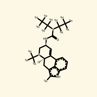 [2H]c1[nH]c2cccc3c2c1C[C@@H]1C3=C[C@H](NC(=O)N(C([2H])([2H])C([2H])([2H])[2H])C([2H])([2H])C([2H])([2H])[2H])CN1C([2H])([2H])[2H]